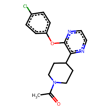 CC(=O)N1CCC(c2nccnc2Oc2ccc(Cl)cc2)CC1